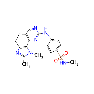 CNS(=O)(=O)c1ccc(Nc2ncc3c(n2)-c2c(nc(C)n2C)CC3)cc1